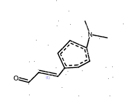 CN(C)c1ccc(/C=C/[C]=O)cc1